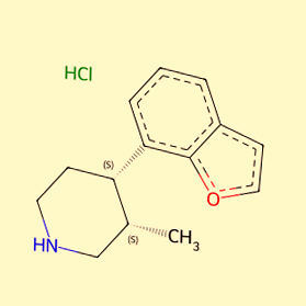 C[C@@H]1CNCC[C@@H]1c1cccc2ccoc12.Cl